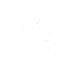 C[C@H](C[C@@H]1CCCN1C1CCCCCCC1)n1c(=O)c(N[C@@H](CO)C(=O)O)nc2ccccc21